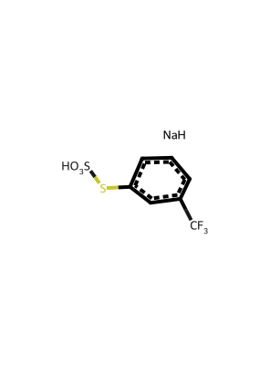 O=S(=O)(O)Sc1cccc(C(F)(F)F)c1.[NaH]